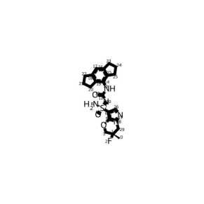 C[C@@]1(F)COc2c([S@@](N)(=O)=NC(=O)Nc3c4c(cc5c3CCC5)CCC4)cnn2C1